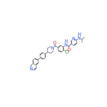 CC(C)Nc1ccc(C(=O)Nc2cc(C(=O)N3CCC(c4ccc(-c5ccc6cnccc6c5)cc4)CC3)ccc2Cl)cn1